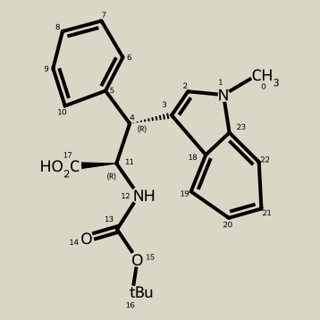 Cn1cc([C@@H](c2ccccc2)[C@@H](NC(=O)OC(C)(C)C)C(=O)O)c2ccccc21